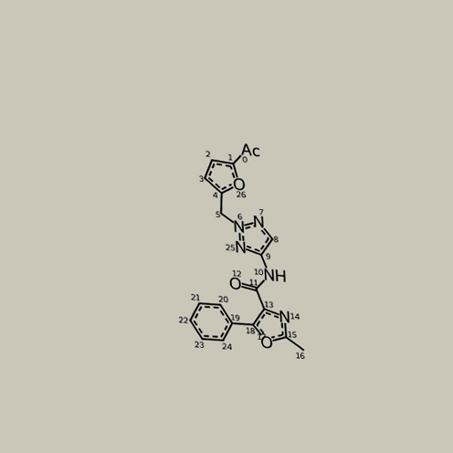 CC(=O)c1ccc(Cn2ncc(NC(=O)c3nc(C)oc3-c3ccccc3)n2)o1